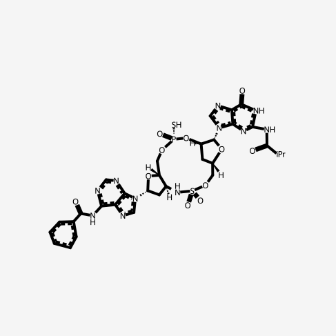 CC(C)C(=O)Nc1nc2c(ncn2[C@@H]2O[C@@H]3COS(=O)(=O)N[C@H]4C[C@H](n5cnc6c(NC(=O)c7ccccc7)ncnc65)O[C@@H]4CO[P@](=O)(S)O[C@@H]2C3)c(=O)[nH]1